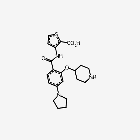 O=C(Nc1ccsc1C(=O)O)c1ccc(N2CCCC2)cc1OC1CCNCC1